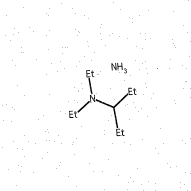 CCC(CC)N(CC)CC.N